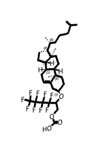 CC(C)CCC[C@@H](C)[C@H]1CC[C@H]2[C@@H]3CC=C4C[C@@H](OC(COC(=O)O)C(F)(F)C(F)(F)C(F)(F)C(F)(F)F)CC[C@]4(C)[C@H]3CC[C@]12C